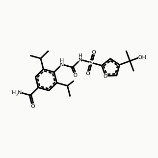 CC(C)c1cc(C(N)=O)cc(C(C)C)c1NC(=O)NS(=O)(=O)c1cc(C(C)(C)O)co1